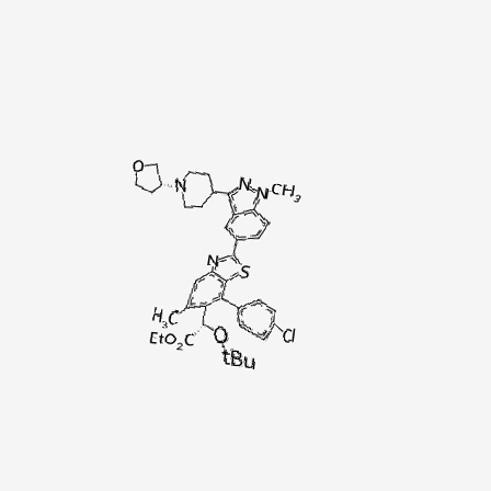 CCOC(=O)[C@@H](OC(C)(C)C)c1c(C)cc2nc(-c3ccc4c(c3)c(C3CCN([C@@H]5CCOC5)CC3)nn4C)sc2c1-c1ccc(Cl)cc1